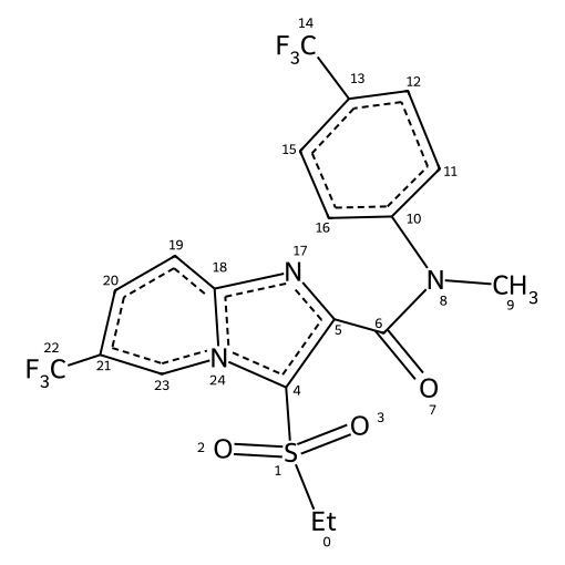 CCS(=O)(=O)c1c(C(=O)N(C)c2ccc(C(F)(F)F)cc2)nc2ccc(C(F)(F)F)cn12